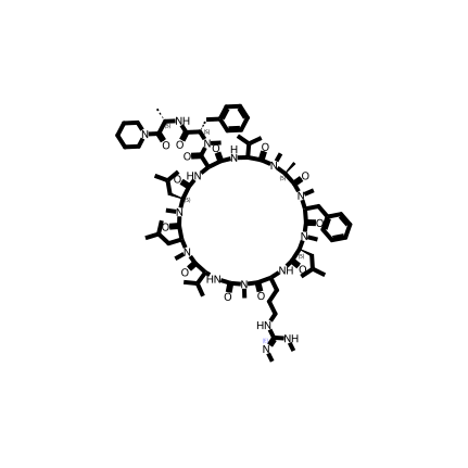 C/N=C(\NC)NCCCC1NC(=O)[C@H](CC(C)C)N(C)C(=O)C(Cc2ccccc2)N(C)C(=O)[C@H](C)N(C)C(=O)C(C(C)C)NC(=O)C(C(=O)N(C)[C@@H](Cc2ccccc2)C(=O)N[C@@H](C)C(=O)N2CCCCC2)NC(=O)[C@H](CC(C)C)N(C)C(=O)C(CC(C)C)N(C)C(=O)C(C(C)C)NC(=O)N(C)C1=O